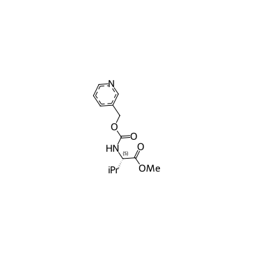 COC(=O)[C@@H](NC(=O)OCc1cccnc1)C(C)C